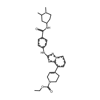 CCOC(=O)N1CC=C(c2cccn3nc(Nc4ccc(C(=O)NC5CCN(C)C(C)C5)cc4)nc23)CC1